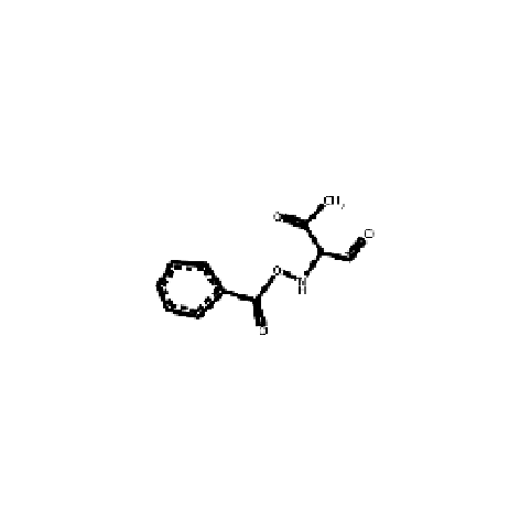 CC(=O)C(C=O)NOC(=O)c1ccccc1